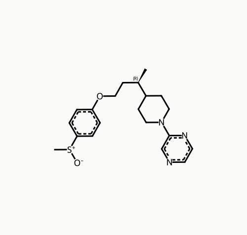 C[C@H](CCOc1ccc([S+](C)[O-])cc1)C1CCN(c2cnccn2)CC1